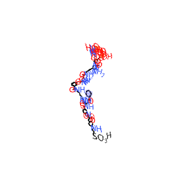 [N-]=[N+]=NCOC1CC(n2cc(C#CCNC(=O)COC(COc3cccc(C(=O)NCCCCCNC(=O)C(CNC(=O)C4=C/C=C\C=C/C=C\4)NC(=O)c4ccc5oc(-c6cc7ccc(NCCCS(=O)(=O)O)cc7oc6=O)nc5c4)c3)N=[N+]=[N-])c(N)nc2=O)OC1COP(=O)(O)OP(=O)(O)OP(=O)(O)O